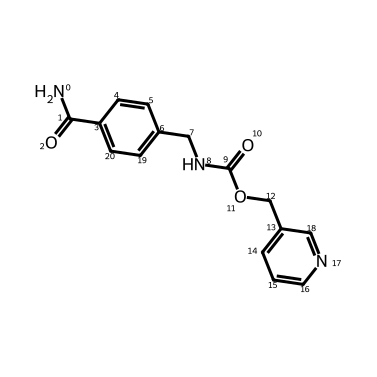 NC(=O)c1ccc(CNC(=O)OCc2cccnc2)cc1